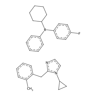 Cc1ccccc1Cc1nccn1C1CC1.Fc1ccc(B(c2ccccc2)C2CCCCC2)cc1